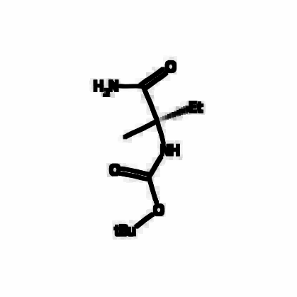 CC[C@@](C)(NC(=O)OC(C)(C)C)C(N)=O